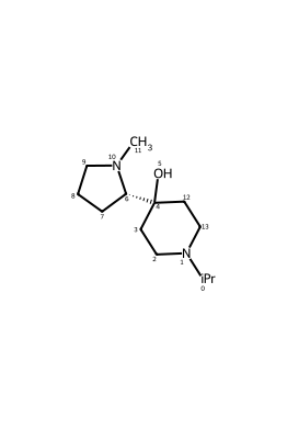 CC(C)N1CCC(O)([C@@H]2CCCN2C)CC1